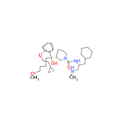 CNCC(CC1CCCCC1)NC(=O)N1CCC[C@@H](C(O)(CCCCOC)c2ccccc2OCCC2CC2)C1